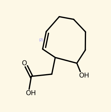 O=C(O)CC1/C=C\CCCCC1O